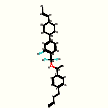 C=CCCc1ccc(C(C)OC(F)(F)c2ccc(C3CCC(/C=C/C)CC3)cc2F)cc1